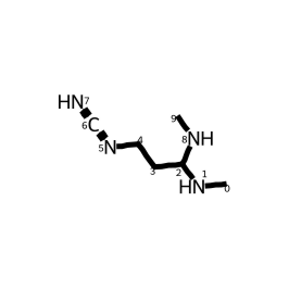 CNC(CCN=C=N)NC